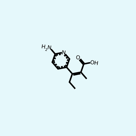 CCC(=C(C)C(=O)O)c1ccc(N)nc1